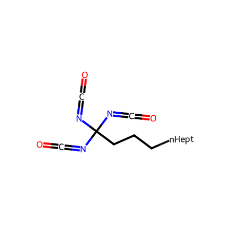 CCCCCCCCCCC(N=C=O)(N=C=O)N=C=O